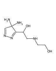 NC1(N)C=NN=C1C(O)CNCCO